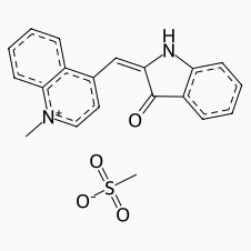 CS(=O)(=O)[O-].C[n+]1ccc(/C=C2/Nc3ccccc3C2=O)c2ccccc21